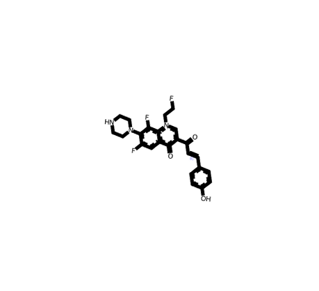 O=C(/C=C/c1ccc(O)cc1)c1cn(CCF)c2c(F)c(N3CCNCC3)c(F)cc2c1=O